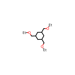 CCOCC1CC(COCC)CC(COCC)C1